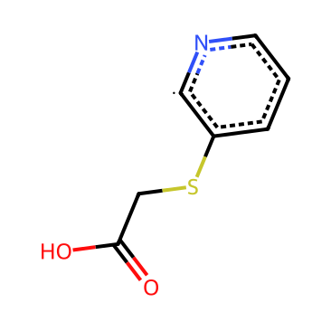 O=C(O)CSc1[c]nccc1